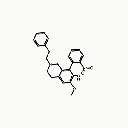 COc1cc2c(c(-c3ccccc3[N+](=O)[O-])c1O)CN(CCc1ccccc1)CC2